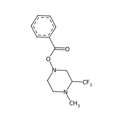 CN1CCN(OC(=O)c2ccccc2)CC1C(F)(F)F